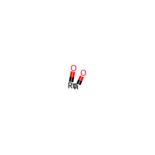 [O]=[Ru].[O]=[Ti]